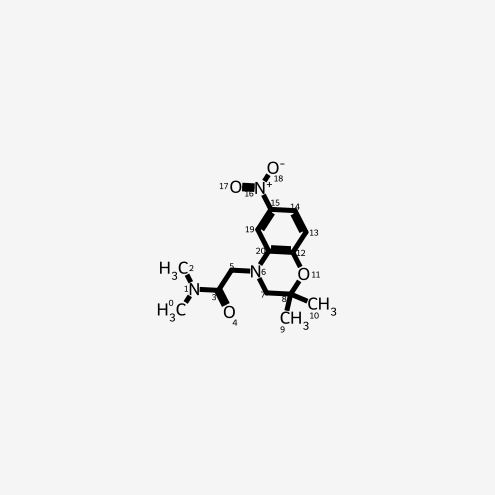 CN(C)C(=O)CN1CC(C)(C)Oc2ccc([N+](=O)[O-])cc21